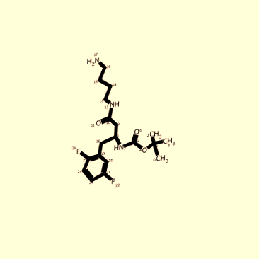 CC(C)(C)OC(=O)NC(CC(=O)NCCCCN)Cc1cc(F)ccc1F